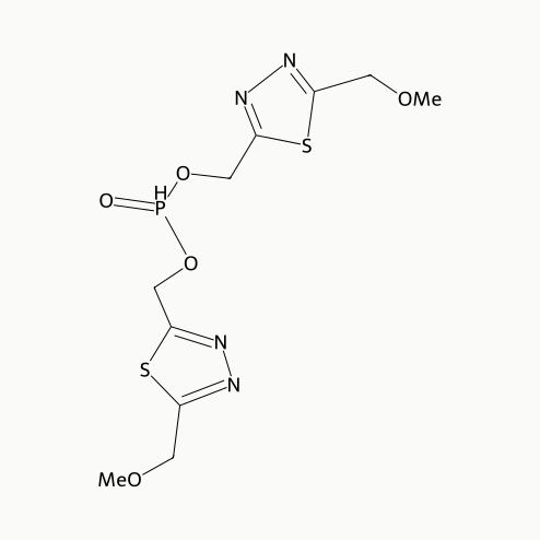 COCc1nnc(CO[PH](=O)OCc2nnc(COC)s2)s1